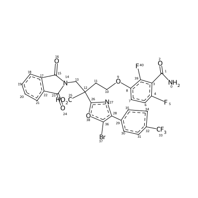 NC(=O)c1c(F)ccc(OCCC(CN2C(=O)c3ccccc3C2=O)(C(=O)O)c2nc(-c3ccc(C(F)(F)F)cc3)c(Br)o2)c1F